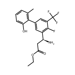 CCOC(=O)C[C@H](N)c1cc(-c2c(C)cccc2O)cc(C(F)(F)F)c1F